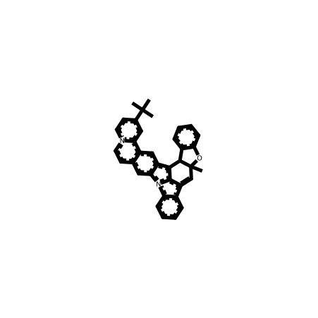 CC(C)(C)c1cc[n+]2ccc3cc4c(cc3c2c1)c1c2c(c3ccccc3n24)=CC2(C)Oc3ccccc3C12